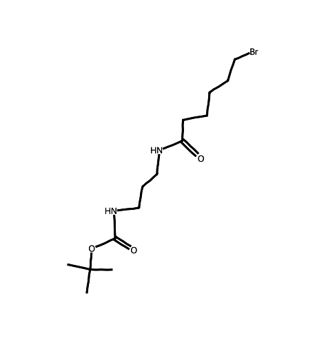 CC(C)(C)OC(=O)NCCCNC(=O)CCCCCBr